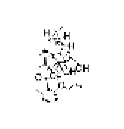 C=CCOc1cccc(C)c1C(=O)O[C@H]1C(C)=C[C@]23C(=O)[C@@H](C=C(CO)[C@@H](O)[C@]12O)[C@H]1[C@@H](C[C@H]3C)C1(C)C